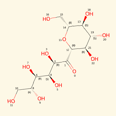 O=C([C@H](O)[C@@H](O)[C@H](O)[C@H](O)CO)[C@@H]1O[C@H](CO)[C@@H](O)[C@H](O)[C@H]1O